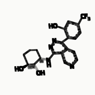 Oc1cc(C(F)(F)F)ccc1-c1nnc(N[C@H]2CCC[C@H](O)[C@H]2O)c2cnccc12